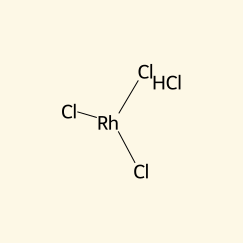 Cl.[Cl][Rh]([Cl])[Cl]